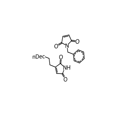 CCCCCCCCCCCCC1=CC(=O)NC1=O.O=C1C=CC(=O)N1Cc1ccccc1